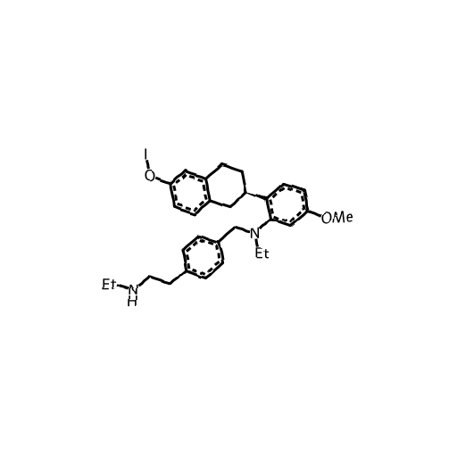 CCNCCc1ccc(CN(CC)c2cc(OC)ccc2[C@@H]2CCc3cc(OI)ccc3C2)cc1